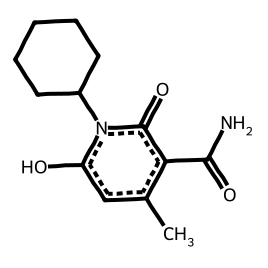 Cc1cc(O)n(C2CCCCC2)c(=O)c1C(N)=O